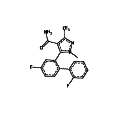 Cn1nc(C(F)(F)F)c(C(N)=O)c1-c1cc(F)ccc1-c1ccccc1F